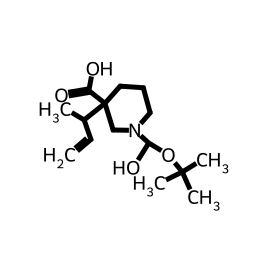 C=CC(C)C1(C(=O)O)CCCN(C(O)OC(C)(C)C)C1